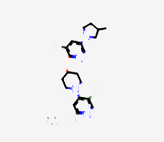 COc1cc(N2CCC(Oc3ncc(N4CCC(C)C4)cc3C(F)(F)F)CC2)c(F)cn1